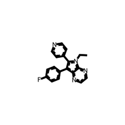 CCn1c(-c2ccncc2)c(-c2ccc(F)cc2)c2nccnc21